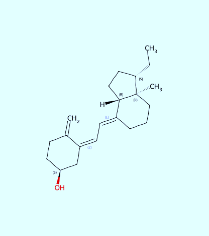 C=C1CC[C@H](O)C/C1=C/C=C1\CCC[C@]2(C)[C@@H](CC)CC[C@@H]12